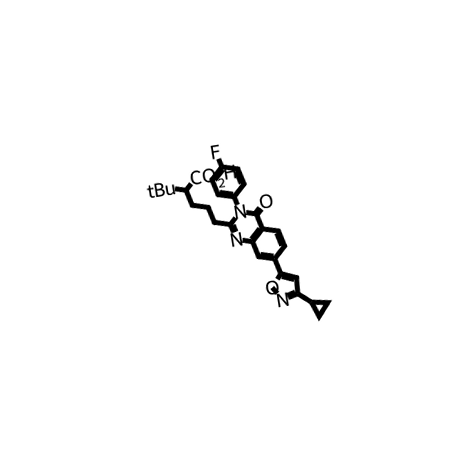 CC(C)(C)C(CCCc1nc2cc(-c3cc(C4CC4)no3)ccc2c(=O)n1-c1ccc(F)cc1)C(=O)O